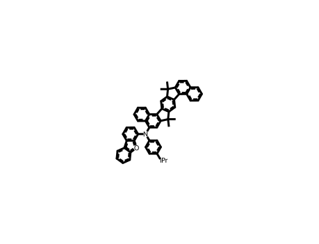 CC(C)c1ccc(N(c2cc3c(c4ccccc24)-c2cc4c(cc2C3(C)C)-c2c(ccc3ccccc23)C4(C)C)c2cccc3c2oc2ccccc23)cc1